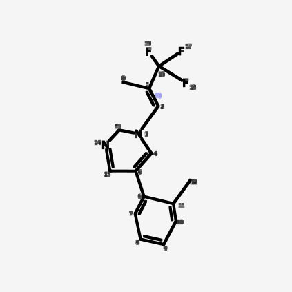 C/C(=C\N1C=C(c2ccccc2C)C=NC1)C(F)(F)F